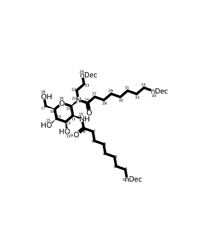 CCCCCCCCCCCCCCCCCC(=O)N[C@H]1[C@@H](O)[C@H](O)[C@@H](CO)O[C@H]1N(CCCCCCCCCCCC)C(=O)CCCCCCCCCCCCCCCCC